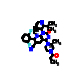 C=CC(=O)N1CCN(c2nc(=O)n(-c3c(C)ccnc3C(C)C)c3nc(-c4c(F)cccc4F)c(C#N)cc23)[C@@H](C)C1